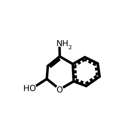 NC1=CC(O)Oc2ccccc21